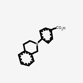 O=C(O)c1ccc(N2CCc3ccccc3C2)cc1